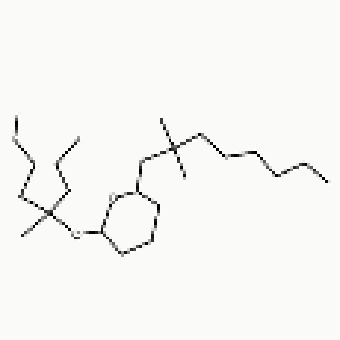 CCCCCCC(C)(C)CC1CCCC(OC(C)(CCC)CCCC)O1